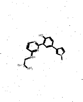 CC[C@@H](N)CNc1ccnc(-c2cc(-c3ccn(C)c3)ccc2O)n1